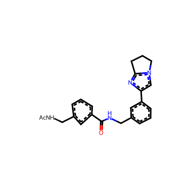 CC(=O)NCc1cccc(C(=O)NCc2cccc(-c3cn4c(n3)CCC4)c2)c1